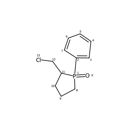 O=P1(c2ccccc2)CCCC1CCl